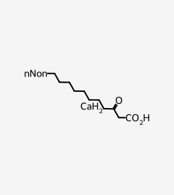 CCCCCCCCCCCCCCCCCC(=O)CC(=O)O.[CaH2]